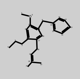 CCCc1cc(OC)c(Cc2ccccc2)cc1CC=C(C)C